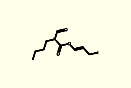 CCCCN(C=O)C(=O)OC=CCI